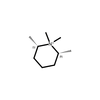 C[C@@H]1CCC[C@H](C)[N+]1(C)C